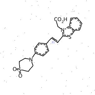 O=C(O)C[n+]1c(/C=C/c2ccc(N3CCS(=O)(=O)CC3)cc2)sc2ccccc21